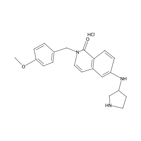 COc1ccc(Cn2ccc3cc(NC4CCNC4)ccc3c2=O)cc1.Cl